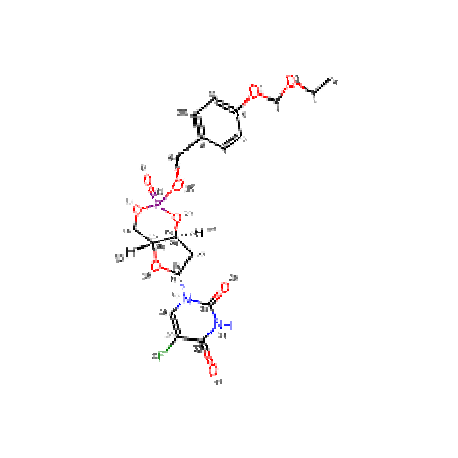 CCOCOc1ccc(COP2(=O)OC[C@H]3O[C@@H](n4cc(F)c(=O)[nH]c4=O)C[C@@H]3O2)cc1